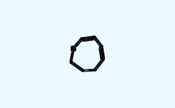 C1=CCCCOC=C1